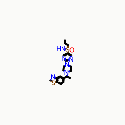 CCCS(=N)(=O)c1cnc(N2CCN(C(C)c3ccc4scnc4c3)CC2)nc1